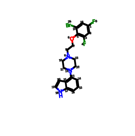 Fc1cc(F)c(OCCN2CCN(c3cccc4[nH]ccc34)CC2)c(Br)c1